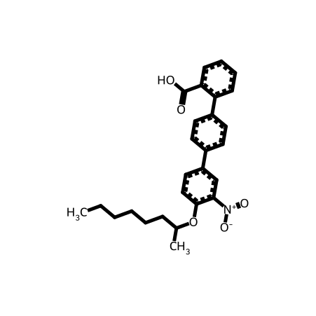 CCCCCCC(C)Oc1ccc(-c2ccc(-c3ccccc3C(=O)O)cc2)cc1[N+](=O)[O-]